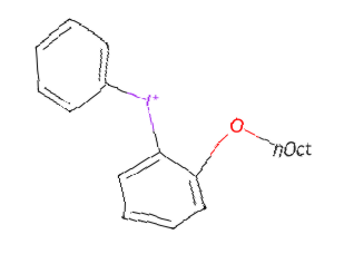 CCCCCCCCOc1ccccc1[I+]c1ccccc1